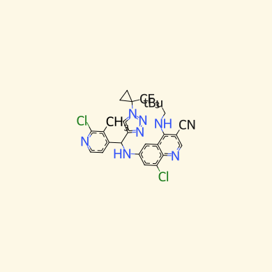 Cc1c(C(Nc2cc(Cl)c3ncc(C#N)c(NCC(C)(C)C)c3c2)c2cn(C3(C(F)(F)F)CC3)nn2)ccnc1Cl